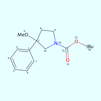 COC1(c2ccccc2)CCN(C(=O)OC(C)(C)C)C1